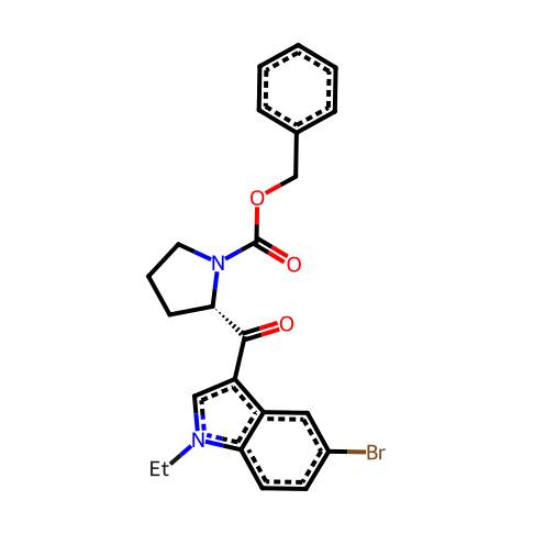 CCn1cc(C(=O)[C@@H]2CCCN2C(=O)OCc2ccccc2)c2cc(Br)ccc21